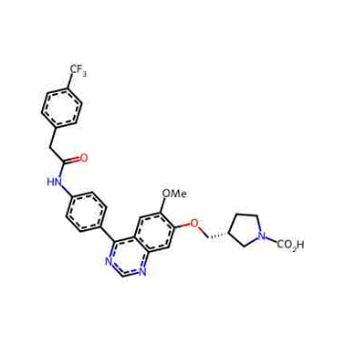 COc1cc2c(-c3ccc(NC(=O)Cc4ccc(C(F)(F)F)cc4)cc3)ncnc2cc1OC[C@@H]1CCN(C(=O)O)C1